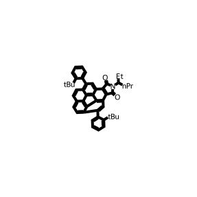 CCCC(CC)n1c(=O)c2c3cc(-c4ccccc4C(C)(C)C)c4ccc5ccc6c(-c7ccccc7C(C)(C)C)cc(c2c1=O)c1c6c5c4c31